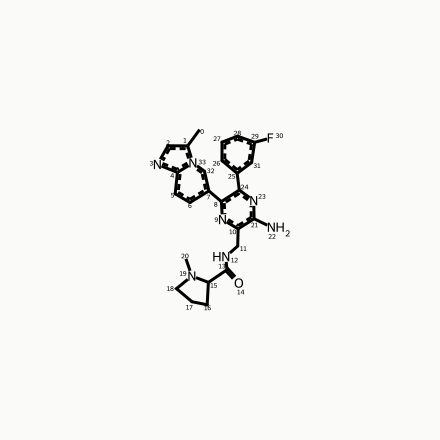 Cc1cnc2ccc(-c3nc(CNC(=O)C4CCCN4C)c(N)nc3-c3cccc(F)c3)cn12